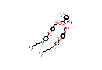 Nc1ccc(N)c(C(COC(=O)/C=C/c2ccc(OC(=O)C3CCC(OCCCCCC(F)(F)F)CC3)cc2)COC(=O)/C=C/c2ccc(OC(=O)C3CCC(OCCCCCC(F)(F)F)CC3)cc2)c1